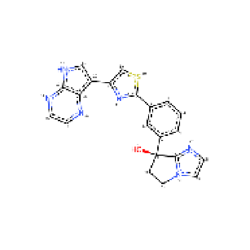 O[C@]1(c2cccc(-c3nc(-c4c[nH]c5nccnc45)cs3)c2)CCn2ccnc21